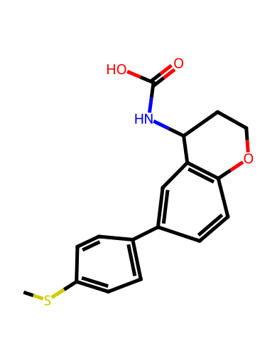 CSc1ccc(-c2ccc3c(c2)C(NC(=O)O)CCO3)cc1